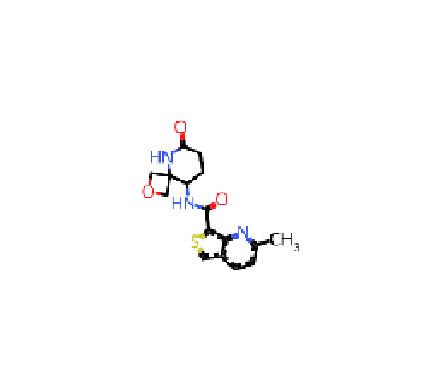 Cc1ccc2csc(C(=O)NC3CCC(=O)NC34COC4)c2n1